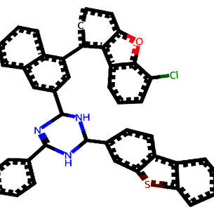 Clc1cccc2c1oc1cccc(-c3cc(C4N=C(c5ccccc5)NC(c5ccc6c(c5)sc5ccccc56)N4)cc4ccccc34)c12